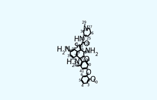 COc1ccccc1Oc1ccc(C2(N)C(=O)C(N)c3c(C(=O)NC4CCCN(C)C4)sc4c(N)ccc2c34)c(C)c1